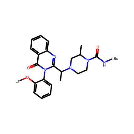 CCOc1ccccc1-n1c(C(C)N2CCN(C(=O)NC(C)(C)C)C(C)C2)nc2ccccc2c1=O